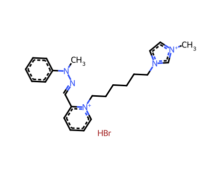 Br.CN(N=Cc1cccc[n+]1CCCCCCn1cc[n+](C)c1)c1ccccc1